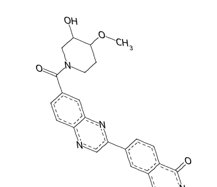 COC1CCN(C(=O)c2ccc3ncc(-c4ccc5c(=O)n(C)ccc5c4)nc3c2)CC1O